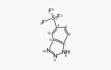 FS(F)(F)c1ccc2[nH]nnc2c1